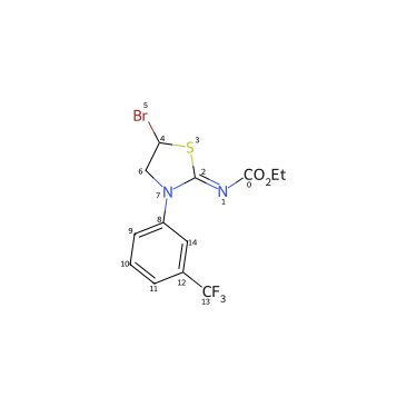 CCOC(=O)N=C1SC(Br)CN1c1cccc(C(F)(F)F)c1